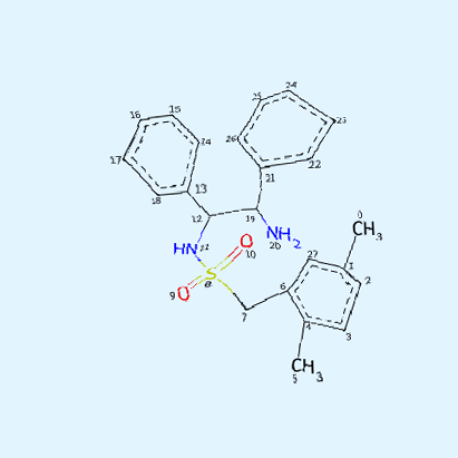 Cc1ccc(C)c(CS(=O)(=O)NC(c2ccccc2)C(N)c2ccccc2)c1